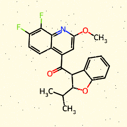 COc1cc(C(=O)C2c3ccccc3OC2C(C)C)c2ccc(F)c(F)c2n1